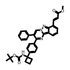 COC(=O)C=Cc1cccc2c1nn1cc(-c3ccccc3)c(-c3ccc(C4(NC(=O)OC(C)(C)C)CCC4)cc3)nc21